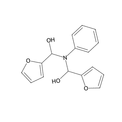 OC(c1ccco1)N(c1ccccc1)C(O)c1ccco1